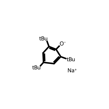 CC(C)(C)c1cc(C(C)(C)C)c([O-])c(C(C)(C)C)c1.[Na+]